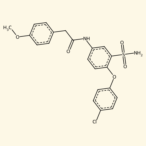 COc1ccc(CC(=O)Nc2ccc(Oc3ccc(Cl)cc3)c(S(N)(=O)=O)c2)cc1